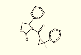 C[C@]1(c2ccccc2)C[C@H]1C(=O)N1C(=O)OCC1c1ccccc1